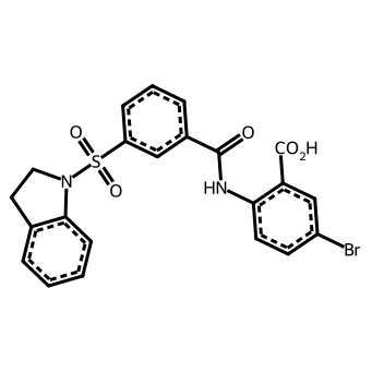 O=C(Nc1ccc(Br)cc1C(=O)O)c1cccc(S(=O)(=O)N2CCc3ccccc32)c1